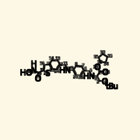 CC(C)(C)OCC(NCc1ccc(NCc2ccc3cc(C(=O)NO)sc3c2)cc1)C(=O)OC1CCCC1